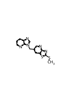 CSc1nc2ncc(Cn3cnc4cccnc43)cc2s1